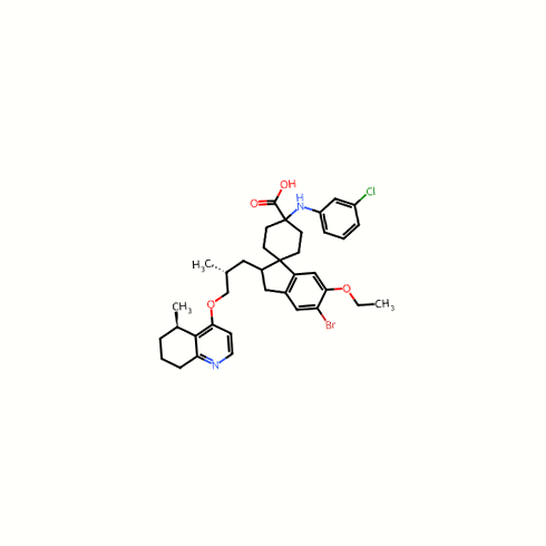 CCOc1cc2c(cc1Br)CC(C[C@@H](C)COc1ccnc3c1[C@H](C)CCC3)C21CCC(Nc2cccc(Cl)c2)(C(=O)O)CC1